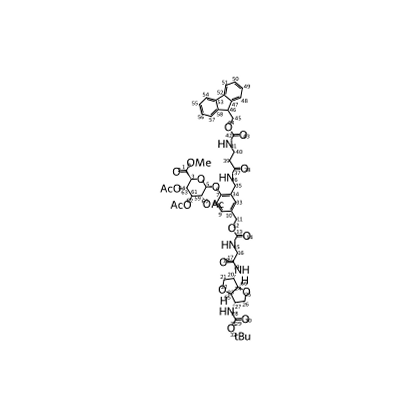 COC(=O)[C@H]1O[C@@H](Oc2ccc(COC(=O)NCC(=O)N[C@H]3CO[C@H]4[C@@H]3OC[C@@H]4NC(=O)OC(C)(C)C)cc2CNC(=O)CCNC(=O)OCC2c3ccccc3-c3ccccc32)[C@H](OC(C)=O)[C@@H](OC(C)=O)[C@@H]1OC(C)=O